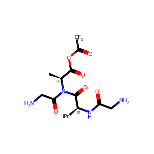 CC(C)[C@H](NC(=O)CN)C(=O)N(C(=O)CN)[C@@H](C)C(=O)OC(=O)C(F)(F)F